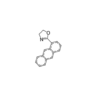 c1ccc2cc3c(C4=NCCO4)cccc3cc2c1